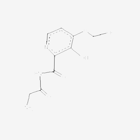 NCC(=O)NC(=O)c1nccc(OCC(F)(F)F)c1O